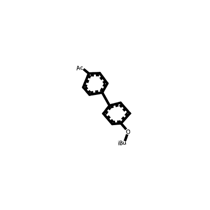 CCC(C)Oc1ccc(-c2ccc(C(C)=O)cc2)cc1